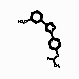 CC(F)Oc1ccc(-n2cc(-c3cccc(C(=O)O)c3)cn2)cc1